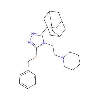 c1ccc(CSc2nnc(C34CC5CC(CC(C5)C3)C4)n2CCN2CCCCC2)cc1